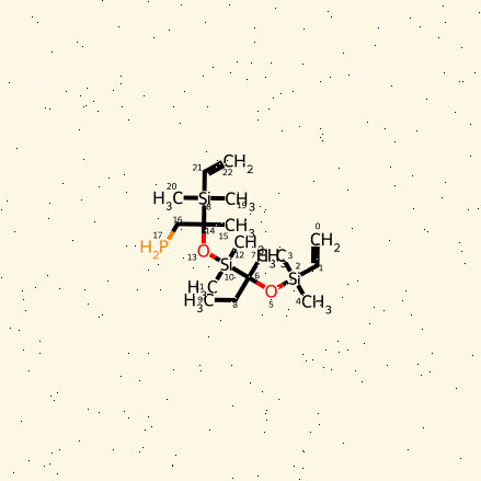 C=C[Si](C)(C)OC(C)(CC)[Si](C)(C)OC(C)(CP)[Si](C)(C)C=C